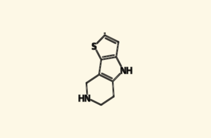 [c]1cc2[nH]c3c(c2s1)CNCC3